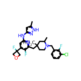 Cc1cc(Nc2cc(C3(F)COC3)c(F)c(CC3(C(=O)O)CCN(Cc4cccc(Cl)c4F)C(C)C3)n2)n[nH]1